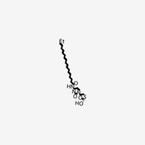 CCC=CCC=CCC=CCC=CCC=CCCCC(=O)Nc1ccn([C@@H]2CS[C@H](CO)O2)c(=O)n1